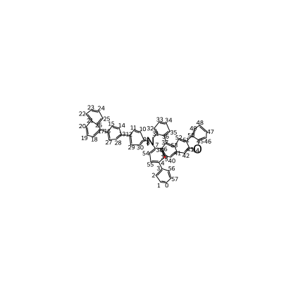 c1ccc(-c2ccc(N(c3ccc(-c4ccc(-c5cccc6ccccc56)cc4)cc3)c3ccccc3-c3cccc4cc5oc6ccccc6c5cc34)cc2)cc1